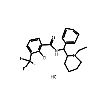 CCN1CCCCC1C(NC(=O)c1cccc(C(F)(F)F)c1Cl)c1ccccc1.Cl